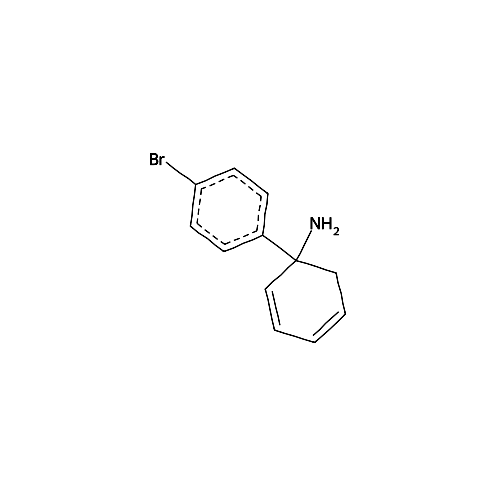 NC1(c2ccc(Br)cc2)C=CC=CC1